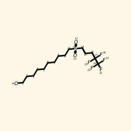 [O]CCCCCCCCCCS(=O)(=O)CCCC(F)(F)C(F)(F)F